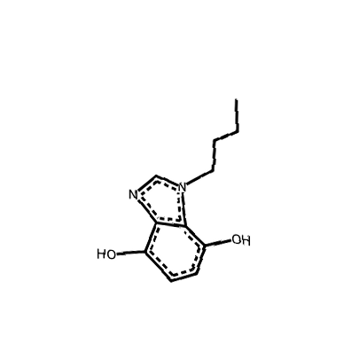 CCCCn1cnc2c(O)ccc(O)c21